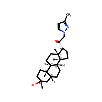 C[C@@]1(O)CC[C@@]2(C)[C@H](CC[C@@H]3[C@@H]2CC[C@]2(C)[C@H](C(=O)Cn4ccc(C(F)(F)F)n4)CC[C@@H]32)C1